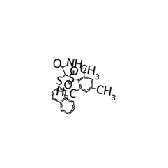 Cc1cc(C)c(S(=O)(=O)C(Sc2ccc3ccccc3c2)C(N)=O)c(C)c1